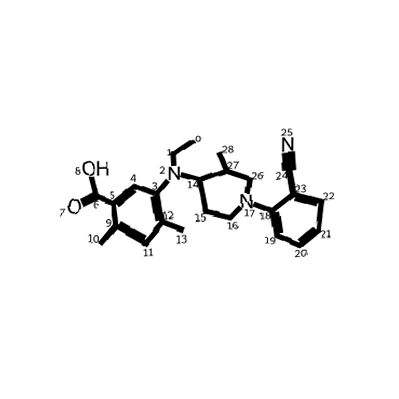 CCN(c1cc(C(=O)O)c(C)cc1C)C1CCN(c2ccccc2C#N)CC1C